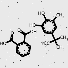 Cc1cc(C(C)(C)C)cc(O)c1O.O=C(O)c1ccccc1C(=O)O